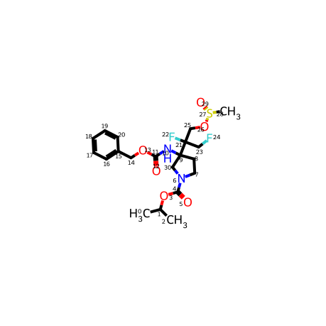 CC(C)OC(=O)N1CCC(NC(=O)OCc2ccccc2)(C(F)(CF)COS(C)=O)C1